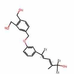 CC/C(=C\C=C(/C)C(O)(CC)CC)c1cccc(OCc2ccc(CO)c(CO)c2)c1